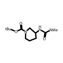 CNC(=O)NC1CCCN(C(=O)OC(C)(C)C)C1